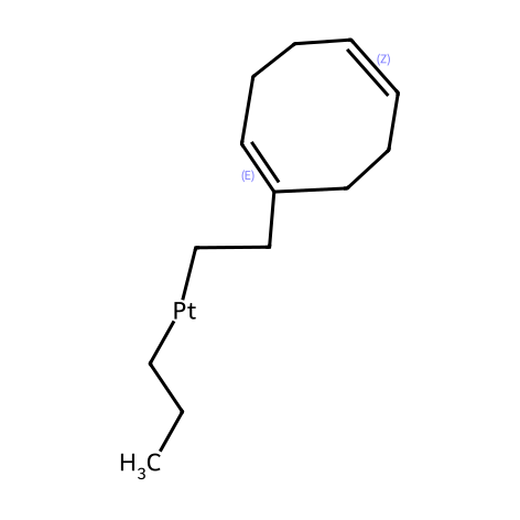 CC[CH2][Pt][CH2]C/C1=C/CC/C=C\CC1